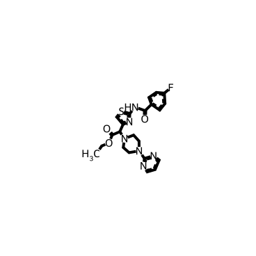 CCOC(=O)C(c1csc(NC(=O)c2ccc(F)cc2)n1)N1CCN(c2ncccn2)CC1